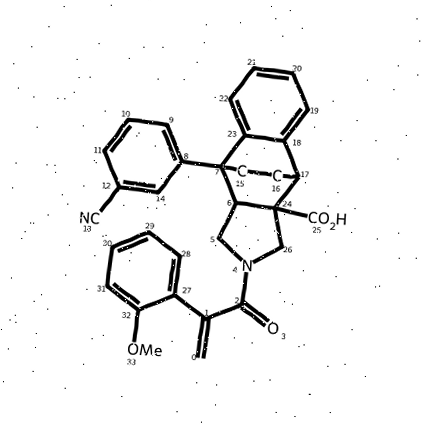 C=C(C(=O)N1CC2C3(c4cccc(C#N)c4)CCC(c4ccccc43)C2(C(=O)O)C1)c1ccccc1OC